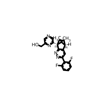 CC1(C)[C@H]2CC[C@]1(c1cncc(CO)n1)c1nnc(-c3c(F)cccc3F)cc12